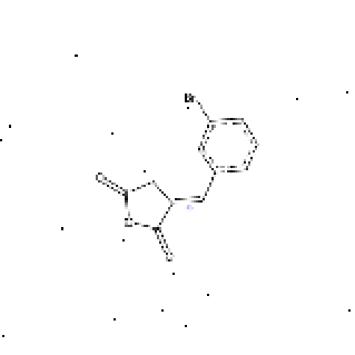 O=C1C/C(=C\c2cccc(Br)c2)C(=O)O1